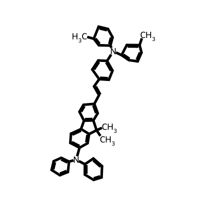 Cc1cccc(N(c2ccc(/C=C/c3ccc4c(c3)C(C)(C)c3cc(N(c5ccccc5)c5ccccc5)ccc3-4)cc2)c2cccc(C)c2)c1